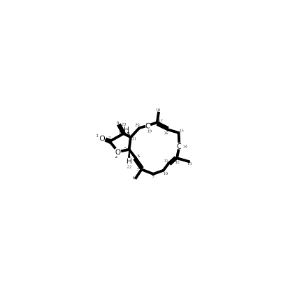 C=C1C(=O)O[C@H]2/C=C(\C)CC/C=C(\C)CC/C=C(\C)CC[C@H]12